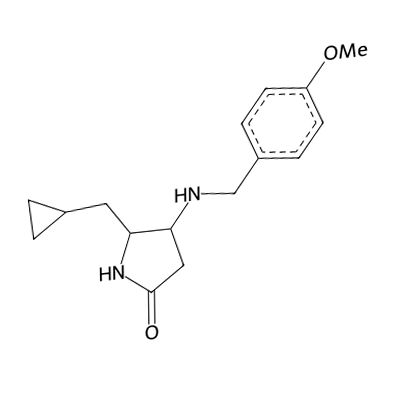 COc1ccc(CNC2CC(=O)NC2CC2CC2)cc1